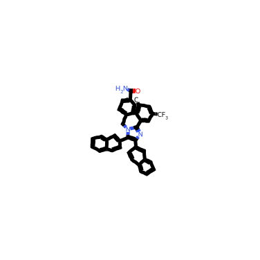 Cc1cc(-c2nc(-c3ccc4ccccc4c3)c(-c3ccc4ccccc4c3)n2Cc2ccc(C(N)=O)cc2)cc(C(F)(F)F)c1